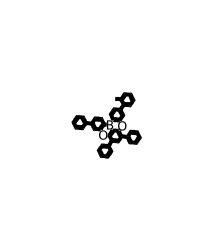 Cc1ccccc1-c1ccc2c(c1)Oc1c(-c3ccccc3)cc(-c3ccccc3)c3c1B2c1ccc(-c2ccccc2)cc1O3